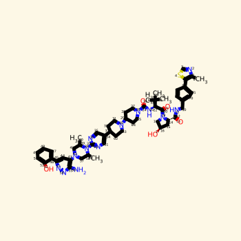 Cc1ncsc1-c1ccc(CNC(=O)[C@@H]2C[C@@H](O)CN2C(=O)[C@@H](NC(=O)N2CCC(N3CCC(c4cnc(N5C(C)CN(c6cc(-c7ccccc7O)nnc6N)CC5C)nc4)CC3)CC2)C(C)(C)C)cc1